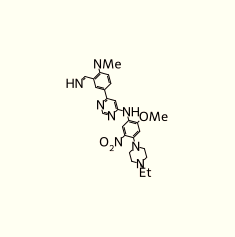 CCN1CCN(c2cc(OC)c(Nc3cc(-c4ccc(NC)c(C=N)c4)ncn3)cc2[N+](=O)[O-])CC1